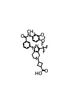 CN(C(=O)c1cccc(-n2nc(C(F)(F)F)c3c2CCN(C2CC(C(=O)O)C2)C3)c1)c1ccc2c(c1)OCO2